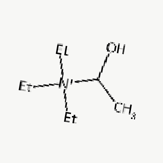 CC[N+](CC)(CC)C(C)O